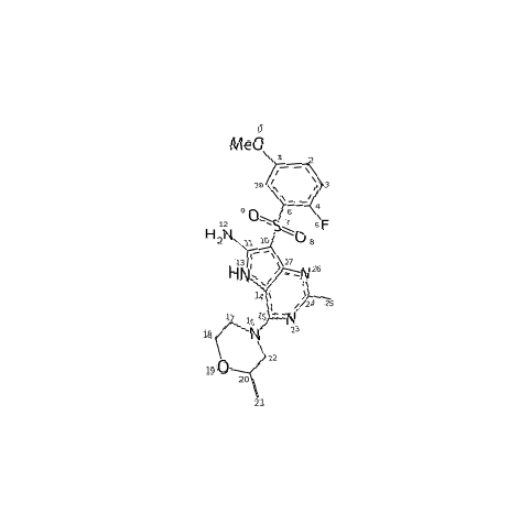 COc1ccc(F)c(S(=O)(=O)c2c(N)[nH]c3c(N4CCOC(C)C4)nc(C)nc23)c1